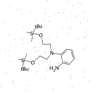 CC(C)(C)[Si](C)(C)OCCN(CCO[Si](C)(C)C(C)(C)C)c1ccccc1N